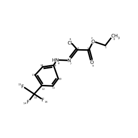 CCOC(=O)C(Cl)=NNc1ccc(C(F)(F)F)cc1